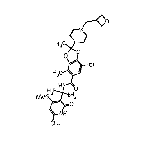 BC(B)(NC(=O)c1cc(Cl)c2c(c1C)OC(C)(C1CCN(CC3COC3)CC1)O2)c1c(SC)cc(C)[nH]c1=O